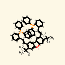 CCC(C)(C)c1cc2oc3cc(C(C)(C)CC)c(/C=C/c4ccccc4P(c4ccccc4)c4ccccc4)cc3c2cc1/C=C/c1ccccc1P(c1ccccc1)c1ccccc1